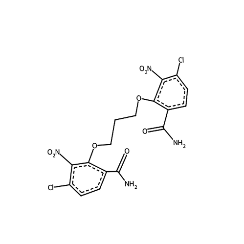 NC(=O)c1ccc(Cl)c([N+](=O)[O-])c1OCCCOc1c(C(N)=O)ccc(Cl)c1[N+](=O)[O-]